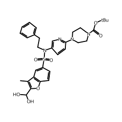 Cc1c(C(O)O)oc2ccc(S(=O)(=O)N(CCc3ccccc3)c3ccc(N4CCN(C(=O)OC(C)(C)C)CC4)nc3)cc12